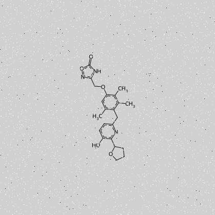 Cc1cc(OCc2noc(=O)[nH]2)c(C)c(C)c1Cc1ccc(O)c(C2CCCO2)n1